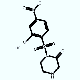 Cl.O=C1CNCCN1S(=O)(=O)c1ccc([N+](=O)[O-])cc1Cl